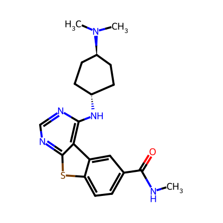 CNC(=O)c1ccc2sc3ncnc(N[C@H]4CC[C@H](N(C)C)CC4)c3c2c1